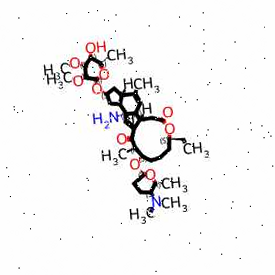 CC[C@H]1CCC[C@H](O[C@H]2CC[C@H](N(C)C)[C@@H](C)O2)[C@@H](C)C(=O)C2=C[C@@]3(N)C4C[C@@H](O[C@@H]5O[C@@H](C)[C@H](O)[C@@H](OC)[C@H]5OC)C[C@@H]4C(C)=C[C@H]3[C@@H]2CC(=O)O1